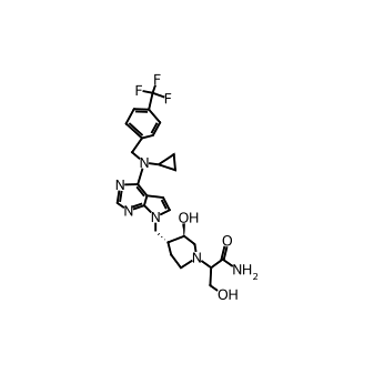 NC(=O)C(CO)N1CC[C@H](Cn2ccc3c(N(Cc4ccc(C(F)(F)F)cc4)C4CC4)ncnc32)[C@@H](O)C1